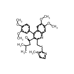 COc1ccc(-c2c(C(=O)CC(C)C)c(CSc3nccn3C)nc3cc(OC)c(OC)cc23)cc1OC